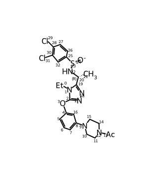 CCn1c(Oc2cccc(N3CCN(C(C)=O)CC3)c2)nnc1[C@@H](C)N[S+]([O-])c1ccc(Cl)c(Cl)c1